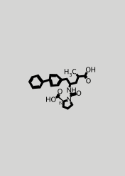 CC(CC(Cc1ccc(-c2ccccc2)cc1)NC(=O)N1CCC[C@H]1C(=O)O)C(=O)O